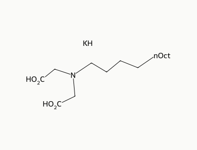 CCCCCCCCCCCCN(CC(=O)O)CC(=O)O.[KH]